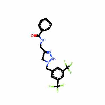 O=C(NCC1=NNN(Cc2cc(C(F)(F)F)cc(C(F)(F)F)c2)C1)c1ccccc1